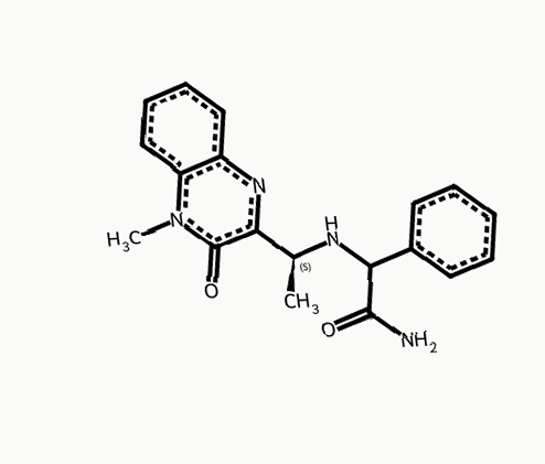 C[C@H](NC(C(N)=O)c1ccccc1)c1nc2ccccc2n(C)c1=O